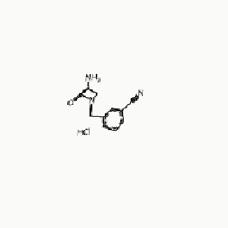 Cl.N#Cc1cccc(CN2CC(N)C2=O)c1